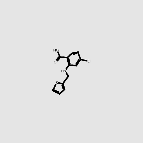 O=C(O)c1ccc(Cl)cc1NCc1cccs1